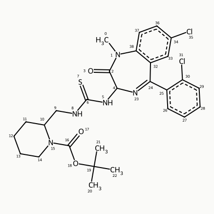 CN1C(=O)C(NC(=S)NCC2CCCCN2C(=O)OC(C)(C)C)N=C(c2ccccc2Cl)c2cc(Cl)ccc21